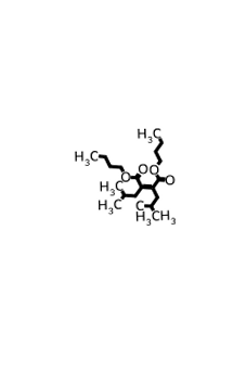 CCCCOC(=O)C(CC(C)C)=C(CC(C)C)C(=O)OCCCC